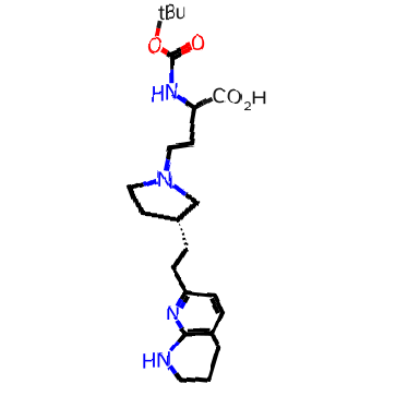 CC(C)(C)OC(=O)NC(CCN1CC[C@@H](CCc2ccc3c(n2)NCCC3)C1)C(=O)O